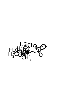 C[Si](C)(C)O[Si](C)(C)O[Si@](C)(CCCN1C(=O)C2C3C=CC(O3)C2C1=O)O[Si](C)(C)C